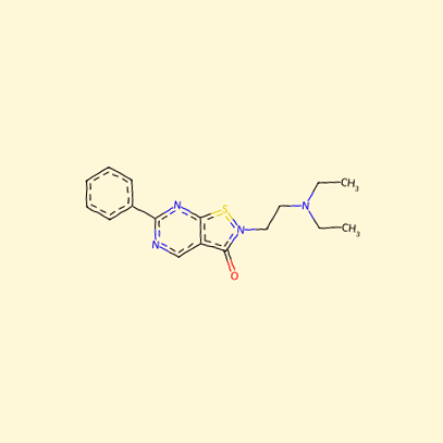 CCN(CC)CCn1sc2nc(-c3ccccc3)ncc2c1=O